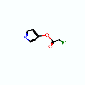 O=C(CBr)Oc1ccncc1